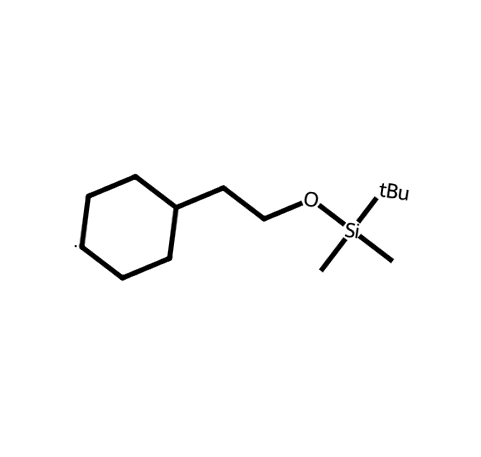 CC(C)(C)[Si](C)(C)OCCC1CC[CH]CC1